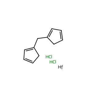 C1=CCC(CC2=CC=CC2)=C1.Cl.Cl.[Hf]